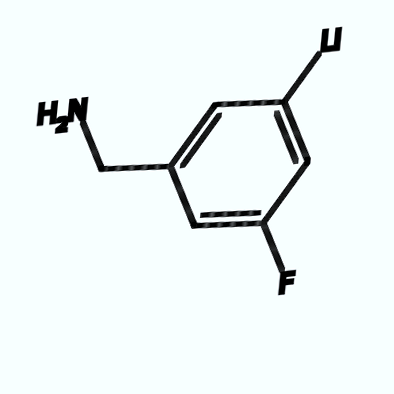 [Li][c]1cc(F)cc(CN)c1